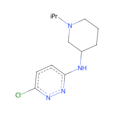 CC(C)N1CCCC(Nc2ccc(Cl)nn2)C1